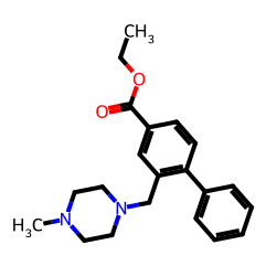 CCOC(=O)c1ccc(-c2ccccc2)c(CN2CCN(C)CC2)c1